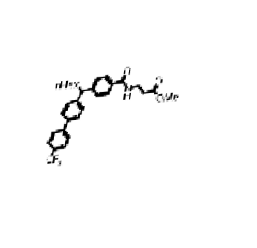 CCCCCCC(c1ccc(C(=O)NCCC(=O)OC)cc1)c1ccc(-c2ccc(C(F)(F)F)cc2)cc1